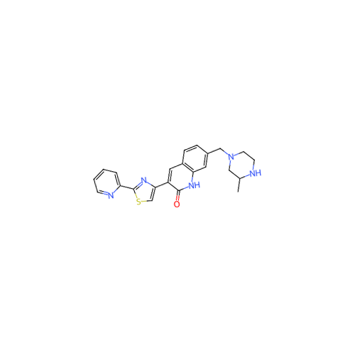 CC1CN(Cc2ccc3cc(-c4csc(-c5ccccn5)n4)c(=O)[nH]c3c2)CCN1